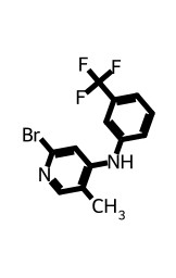 Cc1cnc(Br)cc1Nc1cccc(C(F)(F)F)c1